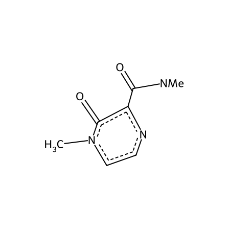 CNC(=O)c1nccn(C)c1=O